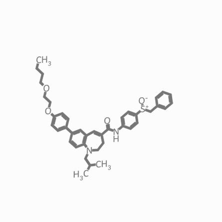 CCCCOCCOc1ccc(-c2ccc3c(c2)C=C(C(=O)Nc2ccc([S+]([O-])Cc4ccccc4)cc2)CCN3CC(C)C)cc1